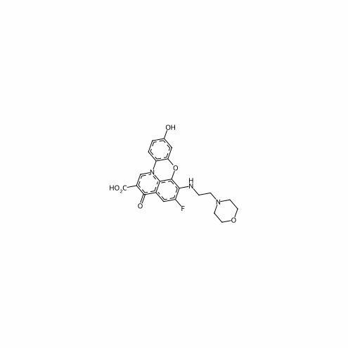 O=C(O)c1cn2c3c(c(NCCN4CCOCC4)c(F)cc3c1=O)Oc1cc(O)ccc1-2